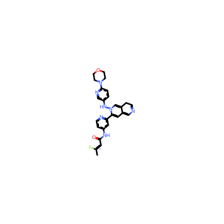 C/C(F)=C/C(=O)Nc1ccnc(C2=CC3=CN=CCC3=CN2Nc2ccc(N3CCOCC3)nc2)c1